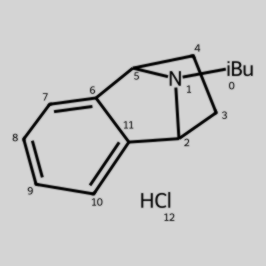 CCC(C)N1C2CCC1c1ccccc12.Cl